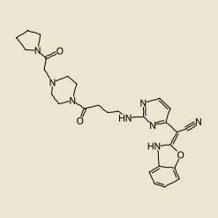 N#C/C(=C1/Nc2ccccc2O1)c1ccnc(NCCCC(=O)N2CCN(CC(=O)N3CCCC3)CC2)n1